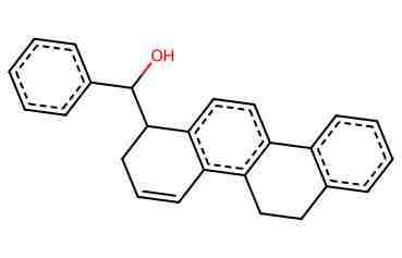 OC(c1ccccc1)C1CC=Cc2c1ccc1c2CCc2ccccc2-1